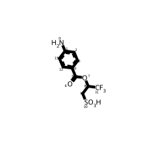 Nc1ccc(C(=O)OC(CS(=O)(=O)O)C(F)(F)F)cc1